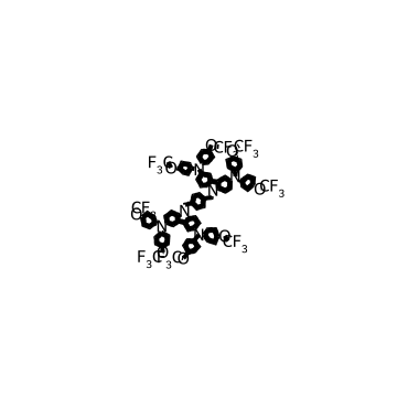 FC(F)(F)Oc1ccc(N(c2ccc(OC(F)(F)F)cc2)c2ccc3c(c2)c2cc(N(c4ccc(OC(F)(F)F)cc4)c4ccc(OC(F)(F)F)cc4)ccc2n3Cc2ccc(Cn3c4ccc(N(c5ccc(OC(F)(F)F)cc5)c5ccc(OC(F)(F)F)cc5)cc4c4cc(N(c5ccc(OC(F)(F)F)cc5)c5ccc(OC(F)(F)F)cc5)ccc43)cc2)cc1